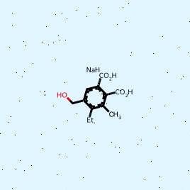 CCc1c(CO)cc(C(=O)O)c(C(=O)O)c1C.[NaH]